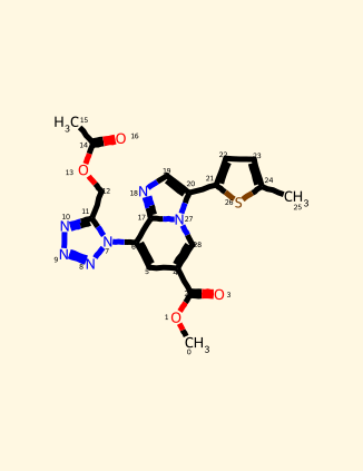 COC(=O)c1cc(-n2nnnc2COC(C)=O)c2ncc(-c3ccc(C)s3)n2c1